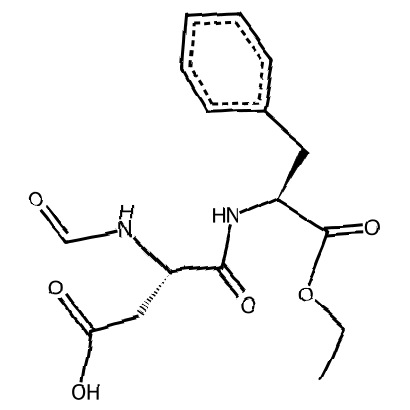 CCOC(=O)[C@H](Cc1ccccc1)NC(=O)[C@H](CC(=O)O)NC=O